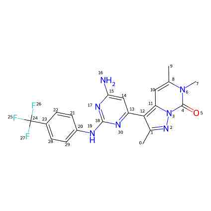 Cc1nn2c(=O)n(C)c(C)cc2c1-c1cc(N)nc(Nc2ccc(C(F)(F)F)cc2)n1